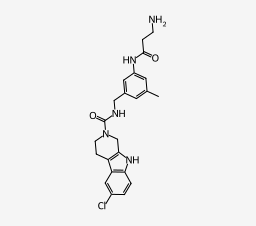 Cc1cc(CNC(=O)N2CCc3c([nH]c4ccc(Cl)cc34)C2)cc(NC(=O)CCN)c1